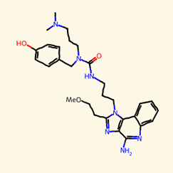 COCCc1nc2c(N)nc3ccccc3c2n1CCCNC(=O)N(CCCN(C)C)Cc1ccc(O)cc1